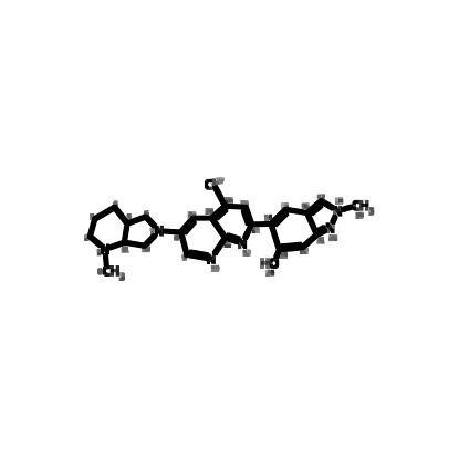 CN1CCCC2CN(c3cnc4nc(-c5cc6cn(C)nc6cc5O)cc(Cl)c4c3)CC21